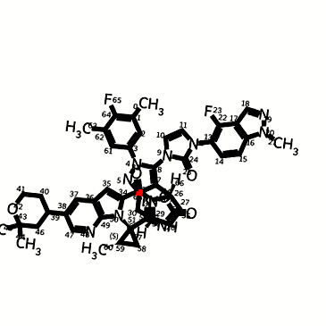 Cc1cc(-n2nc3c(c2-n2ccn(-c4ccc5c(cnn5C)c4F)c2=O)[C@@H]2CC[C@H](C3)N2C(=O)c2cc3cc(C4CCOC(C)(C)C4)cnc3n2[C@@]2(c3noc(=O)[nH]3)C[C@@H]2C)cc(C)c1F